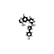 CC(C)N1CCOc2c(F)cc(-c3nc(Nc4cc(C5CCNCC5)no4)ncc3F)cc21